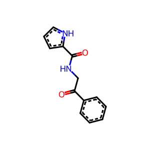 O=C(CNC(=O)c1ccc[nH]1)c1ccccc1